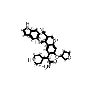 N#Cc1cnc2cc(OC3CCOC3)c(C(C(N)=O)=C3CCNCC3)cc2c1Nc1ccc2[nH]ccc2c1